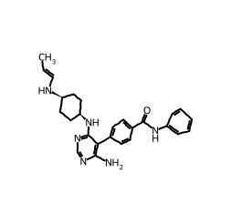 CC=CN[C@H]1CC[C@@H](Nc2ncnc(N)c2-c2ccc(C(=O)Nc3ccccc3)cc2)CC1